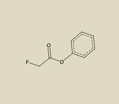 O=C(CF)Oc1ccccc1